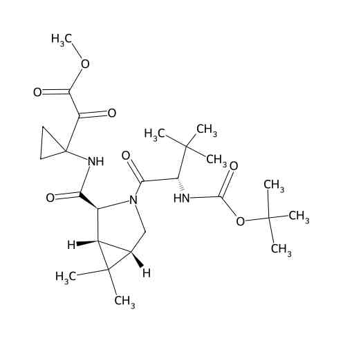 COC(=O)C(=O)C1(NC(=O)[C@@H]2[C@@H]3[C@H](CN2C(=O)[C@@H](NC(=O)OC(C)(C)C)C(C)(C)C)C3(C)C)CC1